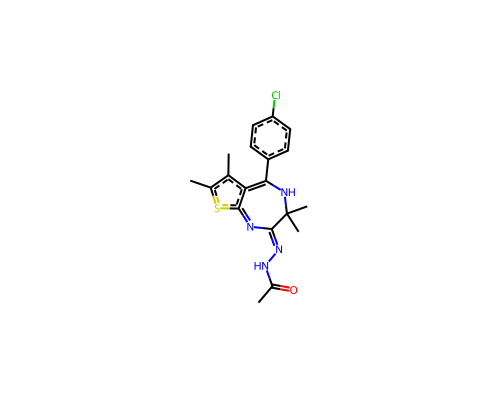 CC(=O)N/N=C1\N=c2sc(C)c(C)c2=C(c2ccc(Cl)cc2)NC1(C)C